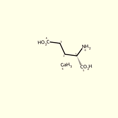 N[C@@H](CCC(=O)O)C(=O)O.[GaH3]